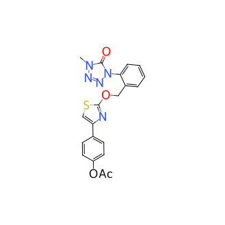 CC(=O)Oc1ccc(-c2csc(OCc3ccccc3-n3nnn(C)c3=O)n2)cc1